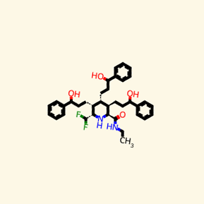 CCNC(=O)[C@H]1N[C@H](C(F)F)[C@H](CCC(O)c2ccccc2)[C@H](CCC(O)c2ccccc2)[C@H]1CCC(O)c1ccccc1